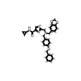 O=C(NC1CC1)c1csc(CN(Cc2ccc(OCc3ccccc3)cc2)Cc2ccc3c(c2)OCO3)n1